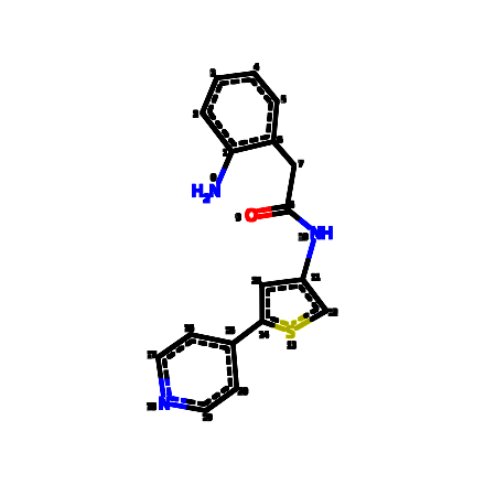 Nc1ccccc1CC(=O)Nc1csc(-c2ccncc2)c1